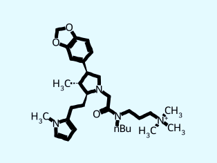 CCCCN(CCC[N+](C)(C)C)C(=O)CN1C[C@H](c2ccc3c(c2)OCO3)[C@@H](C)[C@@H]1CCc1cccn1C